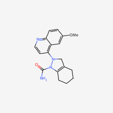 COc1ccc2nccc(N3CC4=C(CC[CH]C4)N3C(N)=O)c2c1